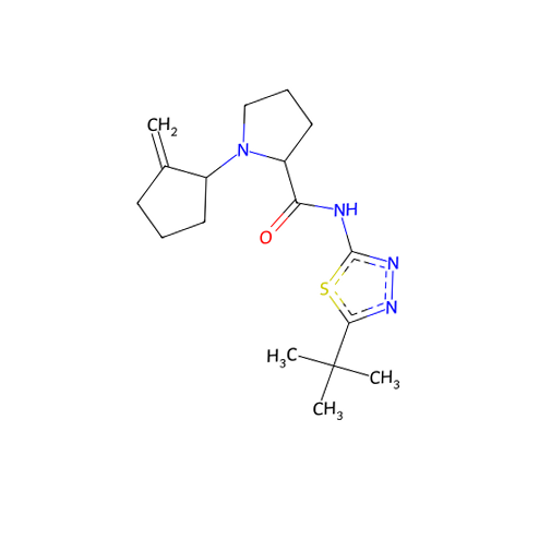 C=C1CCCC1N1CCCC1C(=O)Nc1nnc(C(C)(C)C)s1